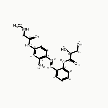 CNCC(=O)Nc1ccc(/N=N/c2ccccc2OC(=O)[C@@H](O)CO)c(N)n1